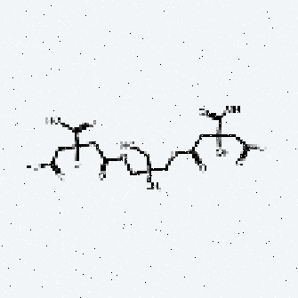 CC(CO)(COC(=O)CC(O)(CC(=O)O)C(=O)O)COC(=O)CC(O)(CC(=O)O)C(=O)O